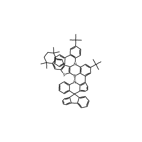 CC(C)(C)c1ccc(N2c3cc(C(C)(C)C)cc4c3B(c3sc5cc6c(cc5c32)C(C)(C)CCC6(C)C)N2c3ccccc3C3(c5ccccc5-c5ccccc53)c3cccc-4c32)c(-c2ccccc2)c1